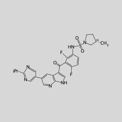 CC(C)c1ncc(-c2cnc3[nH]cc(C(=O)c4c(F)ccc(NS(=O)(=O)N5CC[C@H](C)C5)c4F)c3c2)cn1